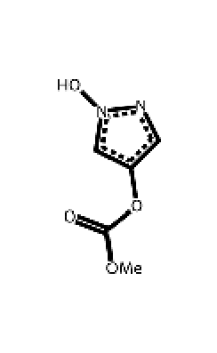 COC(=O)Oc1cnn(O)c1